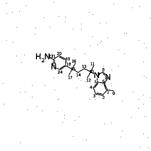 Cc1cccc2c1ncn2C(C)(C)CCC(C)(C)c1ccc(N)nc1